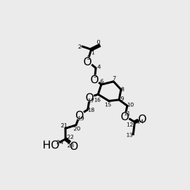 C=C(C)OCOC1CCC(COC(C)=O)CC1OCOCCC(=O)O